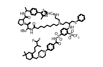 C=C(C(NC(=O)CCCCCCCN(CCNC=O)CCC(CSc1ccccc1)Nc1ccc(S(=O)(=O)NC(=O)c2ccc(N3CCN(CC4=C(CCC(C)C(F)F)CC(C)(C)CC4)CC3)cc2)cc1S(=O)(=O)C(F)(F)F)C(C)(C)C)N1CCCC1C(=O)NC(C)c1ccc(-c2scnc2C)cc1